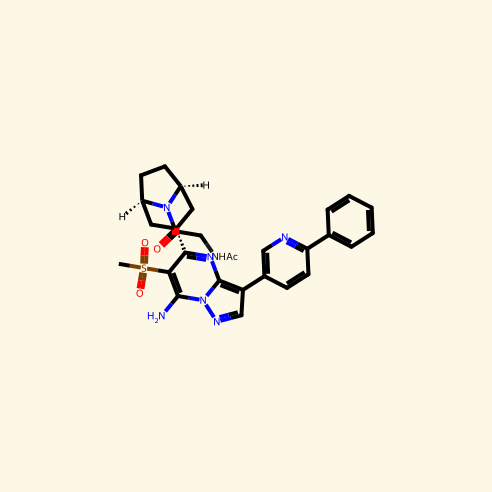 CC(=O)NCC(=O)N1[C@@H]2CC[C@H]1C[C@H](c1nc3c(-c4ccc(-c5ccccc5)nc4)cnn3c(N)c1S(C)(=O)=O)C2